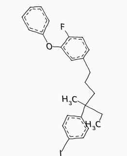 CCC(C)(CCCc1ccc(F)c(Oc2ccccc2)c1)c1ccc(I)cc1